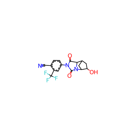 N#Cc1ccc(N2C(=O)C3C4CC(O)C(C4)N3C2=O)cc1C(F)(F)F